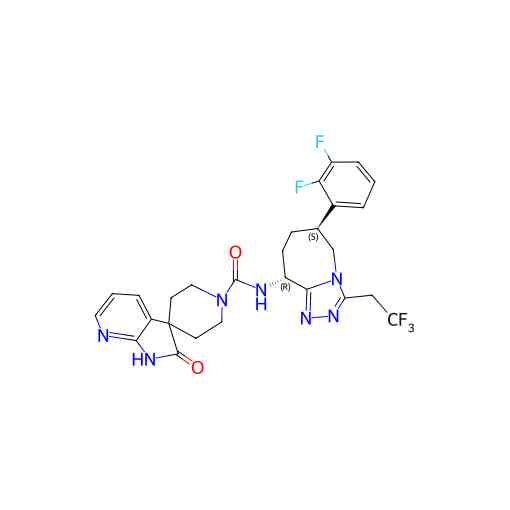 O=C(N[C@@H]1CC[C@@H](c2cccc(F)c2F)Cn2c(CC(F)(F)F)nnc21)N1CCC2(CC1)C(=O)Nc1ncccc12